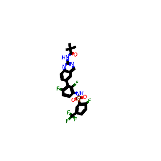 CC(C)(C)C(=O)Nc1ncc2cc(-c3c(F)ccc(NS(=O)(=O)c4cc(C(F)(F)F)ccc4F)c3F)ccc2n1